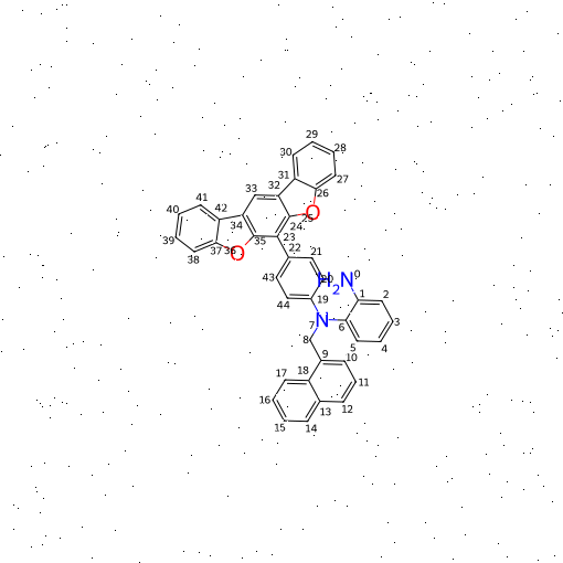 Nc1ccccc1N(Cc1cccc2ccccc12)c1ccc(-c2c3oc4ccccc4c3cc3c2oc2ccccc23)cc1